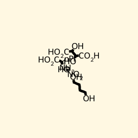 CCC[C@H](N)C(=O)O.O=C(O)C(O)C(O)C(=O)O.O=[N+]([O-])O.OCCCCO